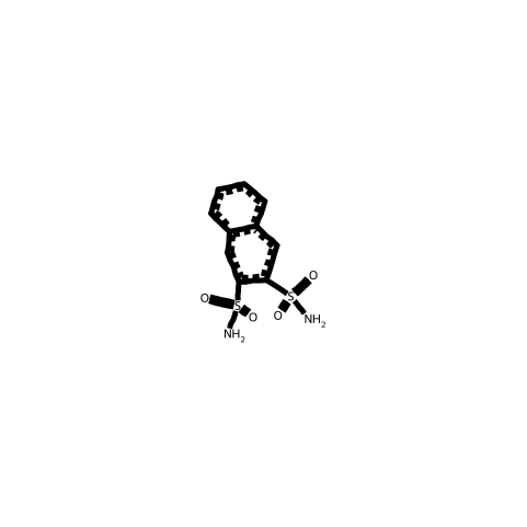 NS(=O)(=O)c1cc2ccccc2cc1S(N)(=O)=O